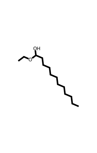 CCCCCCCCCCCC(O)OCC